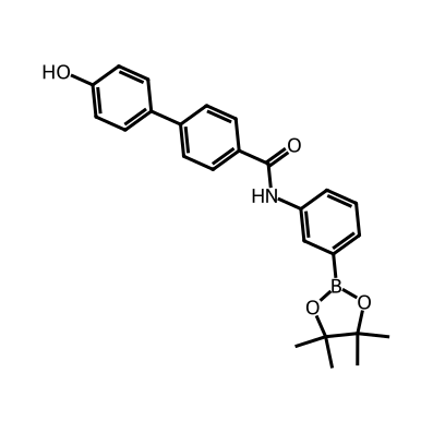 CC1(C)OB(c2cccc(NC(=O)c3ccc(-c4ccc(O)cc4)cc3)c2)OC1(C)C